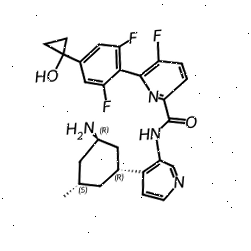 C[C@@H]1C[C@@H](N)C[C@H](c2ccncc2NC(=O)c2ccc(F)c(-c3c(F)cc(C4(O)CC4)cc3F)n2)C1